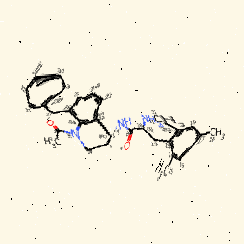 CC(=O)N1CC[C@@H](NC(=O)[C@@H](N)Cc2c(C)cc(C)cc2C)c2cccc(Cc3ccccc3)c21